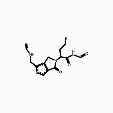 CCCC(C(=O)NC=O)N1Cc2c(csc2CNC=O)C1=O